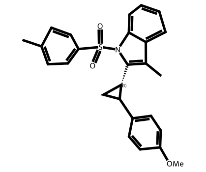 COc1ccc(C2C[C@@H]2c2c(C)c3ccccc3n2S(=O)(=O)c2ccc(C)cc2)cc1